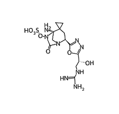 N=C(N)NC[C@@H](O)c1nnc([C@@H]2CC3(CC3)[C@]3(N)CN2C(=O)N3OS(=O)(=O)O)o1